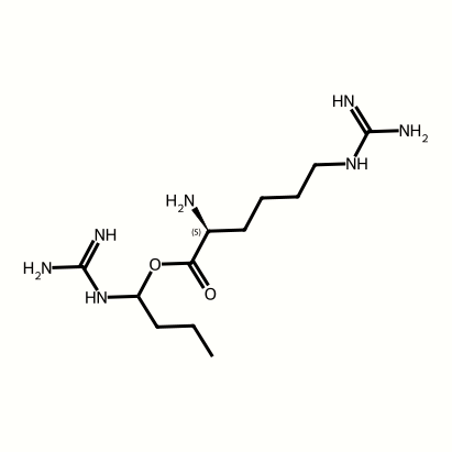 CCCC(NC(=N)N)OC(=O)[C@@H](N)CCCCNC(=N)N